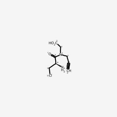 C#CCN(CC(=O)O)C(=O)[C@@H](N)CCl